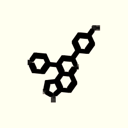 Oc1ccc(-c2cc(-c3ccncc3)c3c(ccc4[nH]ncc43)n2)cc1